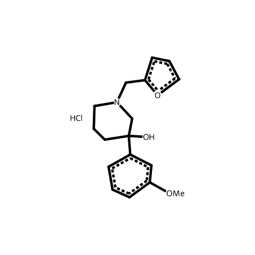 COc1cccc(C2(O)CCCN(Cc3ccco3)C2)c1.Cl